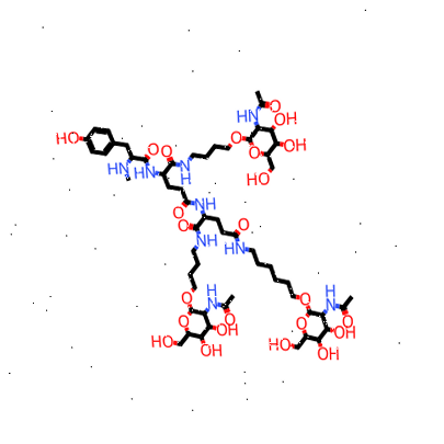 CNC(Cc1ccc(O)cc1)C(=O)NC(CCC(=O)NC(CCC(=O)NCCCCCCOC1OC(CO)C(O)C(O)C1NC(C)=O)C(=O)NCCCCOC1OC(CO)C(O)C(O)C1NC(C)=O)C(=O)NCCCCOC1OC(CO)C(O)C(O)C1NC(C)=O